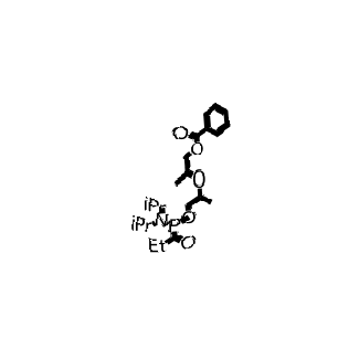 CCC(=O)P(OCC(C)OC(C)COC(=O)c1ccccc1)N(C(C)C)C(C)C